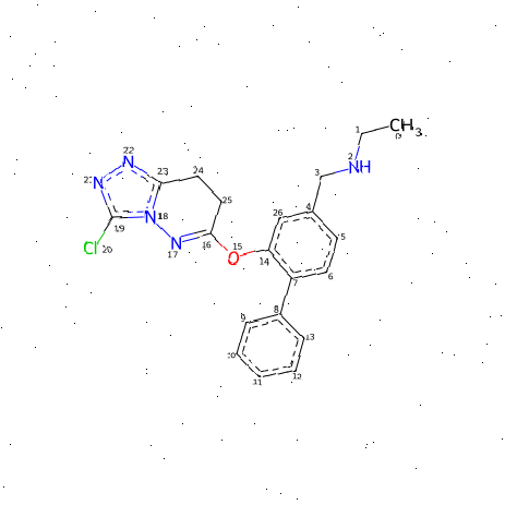 CCNCc1ccc(-c2ccccc2)c(OC2=Nn3c(Cl)nnc3CC2)c1